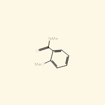 CNC(=O)c1c[c]ccc1OC